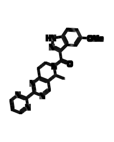 COc1ccc2[nH]nc(C(=O)N3CCc4nc(-c5ncccn5)ncc4C3C)c2c1